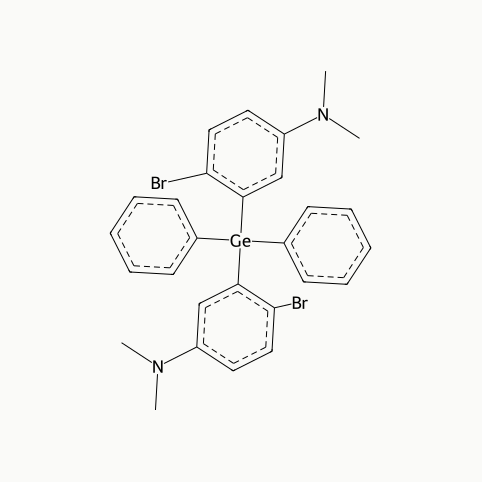 CN(C)c1ccc(Br)[c]([Ge]([c]2ccccc2)([c]2ccccc2)[c]2cc(N(C)C)ccc2Br)c1